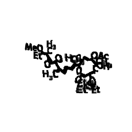 CCC(OC)C(C)C1OC1C(=O)C(C)/C=C/C=C(\C)C1OC(=O)CC(O[Si](CC)(CC)CC)CCC(C)(O)C(OC(C)=O)/C=C/C1C